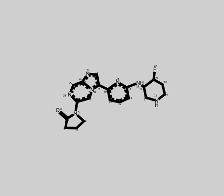 O=C1CCCN1c1cn2c(-c3cccc(NC4CNCCC4F)n3)cnc2cn1